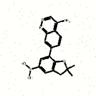 CC1(C)Cc2cc(B(O)O)cc(-c3ccc4c(N)cnnc4c3)c2O1